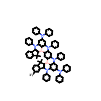 CC(C)c1ccc2c(c1)C1=C(B3c4cc5c(cc4N(c4ccccc4)c4cc(N(c6ccccc6)c6ccccc6)cc(c43)N1c1ccccc1)N(c1ccccc1)c1cc(N(c3ccccc3)c3ccccc3)cc3c1B5C1=C(c4ccccc4C1(C)C)N3c1ccccc1)C2(C)C